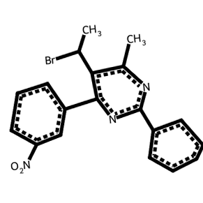 Cc1nc(-c2ccccc2)nc(-c2cccc([N+](=O)[O-])c2)c1C(C)Br